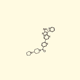 Nc1nn2cc(-c3ccc(C(=O)N4CCC(N5CCCC5)CC4)cn3)cnc2c1-c1ccccn1